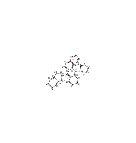 c1ccc(-c2ccccc2-c2c3ccccc3c(-c3ccc4ccccc4c3)c3ccccc23)cc1